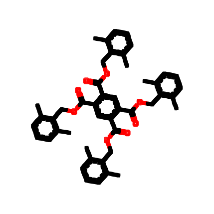 Cc1cccc(C)c1COC(=O)c1cc(C(=O)OCc2c(C)cccc2C)c(C(=O)OCc2c(C)cccc2C)cc1C(=O)OCc1c(C)cccc1C